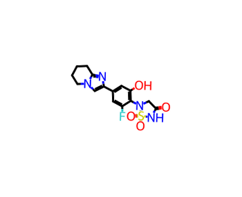 O=C1CN(c2c(O)cc(-c3cn4c(n3)CCCC4)cc2F)S(=O)(=O)N1